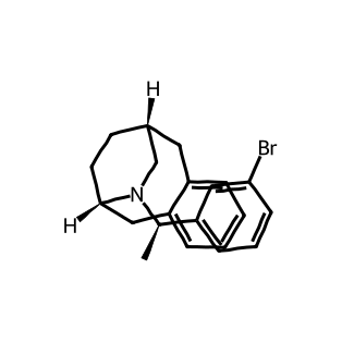 C[C@H](c1cccc(Br)c1)N1C[C@@H]2CC[C@H]1Cc1ccccc1C2